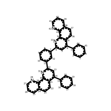 c1ccc(-c2cc(-c3cccc(-c4cc(-c5ccccc5)c5ccc6cccnc6c5n4)c3)nc3c2ccc2cccnc23)cc1